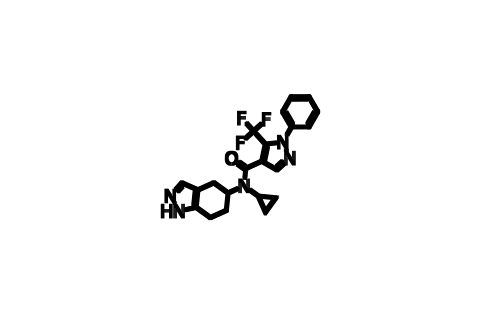 O=C(c1cnn(-c2ccccc2)c1C(F)(F)F)N(C1CC1)C1CCc2[nH]ncc2C1